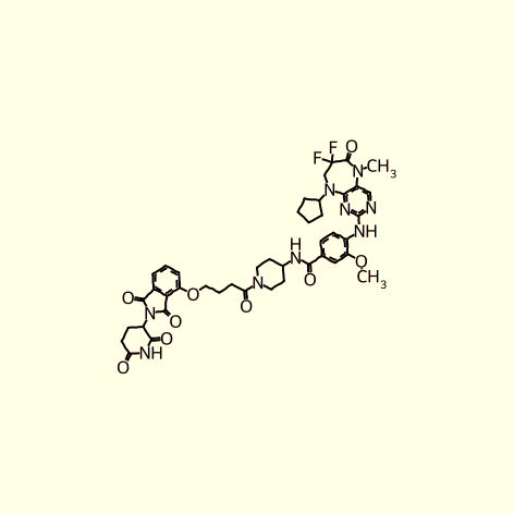 COc1cc(C(=O)NC2CCN(C(=O)CCCOc3cccc4c3C(=O)N(C3CCC(=O)NC3=O)C4=O)CC2)ccc1Nc1ncc2c(n1)N(C1CCCC1)CC(F)(F)C(=O)N2C